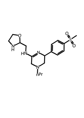 CCCN1CC(NCC2NCCO2)=NC(c2ccc(S(C)(=O)=O)cc2)C1